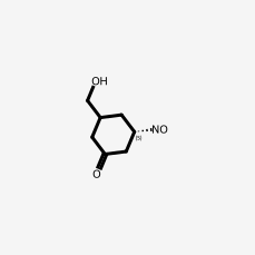 O=N[C@@H]1CC(=O)CC(CO)C1